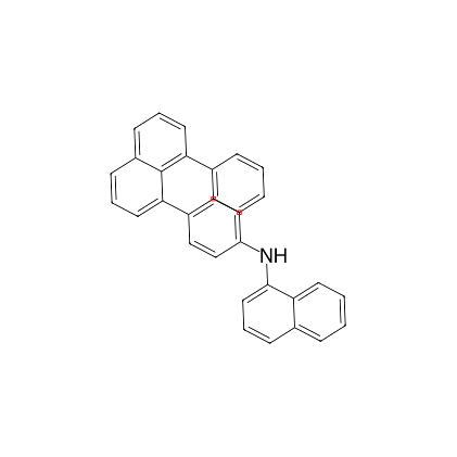 c1ccc(-c2cccc3cccc(-c4ccc(Nc5cccc6ccccc56)cc4)c23)cc1